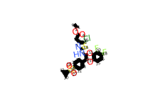 CCOC(=O)Cc1nc(NC(=O)C(Oc2ccc(F)c(F)c2)c2ccc(S(=O)(=O)C3CC3)cc2)sc1Cl